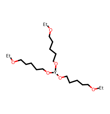 CCOCCCCC[O][Y]([O]CCCCCOCC)[O]CCCCCOCC